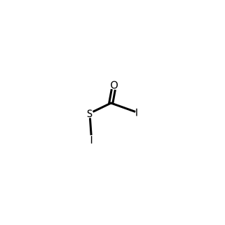 O=C(I)SI